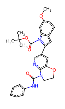 COc1ccc2cc(-c3cnc4c(c3)OCCN4C(=O)Nc3ccccc3)n(C(=O)OC(C)(C)C)c2c1